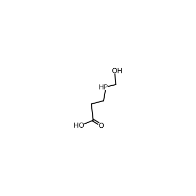 O=C(O)CCPCO